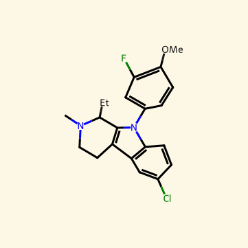 CCC1c2c(c3cc(Cl)ccc3n2-c2ccc(OC)c(F)c2)CCN1C